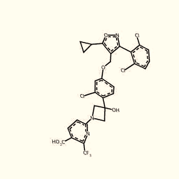 O=C(O)c1ccc(N2CC(O)(c3ccc(OCc4c(-c5c(Cl)cccc5Cl)noc4C4CC4)cc3Cl)C2)nc1C(F)(F)F